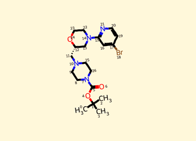 CC(C)(C)OC(=O)N1CCN(C[C@H]2CN(c3cc(Br)ccn3)CCO2)CC1